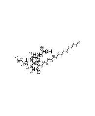 CCCCCCCCCCCCCCCCCC(=O)N(C)[C@H](COCCCC)C(=O)N[C@H](C)C(=O)NCC(=O)O